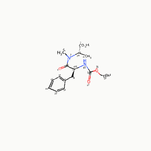 C[C@@H](C(=O)O)N(C)C(=O)[C@H](Cc1ccccc1)NC(=O)OC(C)(C)C